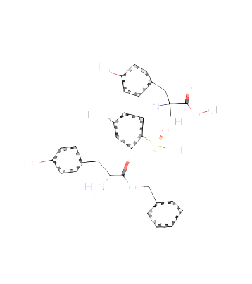 COC(=O)C(C)(N)Cc1ccc(O)cc1.Cc1ccc(S(=O)(=O)O)cc1.Cl.N[C@@H](Cc1ccc(O)cc1)C(=O)OCc1ccccc1